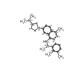 Cc1cccc([C@@H](C)Nc2nnc(C)c3ccc(N4CC[C@@H](N(C)C)C4)cc23)c1C